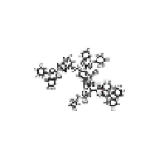 Cc1cc(SCC2=C(C(=O)OC(c3ccccc3)c3ccccc3)N3C(=O)[C@@H](NC(=O)/C(=N\OC(=O)Cc4cccs4)c4csc(NC(c5ccccc5)(c5ccccc5)c5ccccc5)n4)[C@H]3SC2)n2nc(C(=O)OC(c3ccccc3)c3ccccc3)nc2n1